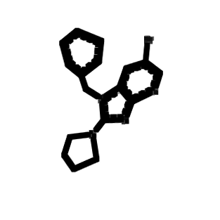 Brc1cnc2nc(N3CCCC3)n(Cc3ccccc3)c2c1